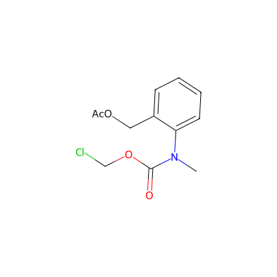 CC(=O)OCc1ccccc1N(C)C(=O)OCCl